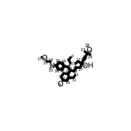 CCC[C@@H](C1=C2CCC(=O)C=C2CC[C@H]1[C@@H]1CC[C@@](O)(C#CC(C)(C)OC)C1)c1ccc(N(C)CCOC)cc1